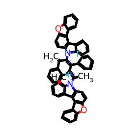 C=C(/C(=C(\C(C)=C(/C)n1c2ccccc2c2c3c(ccc21)oc1ccccc13)c1ccccc1F)n1c2ccccc2c2c3c(ccc21)oc1ccccc13)c1ccccc1F